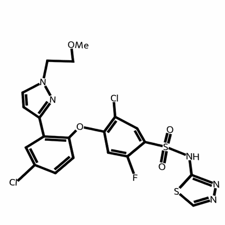 COCCn1ccc(-c2cc(Cl)ccc2Oc2cc(F)c(S(=O)(=O)Nc3nncs3)cc2Cl)n1